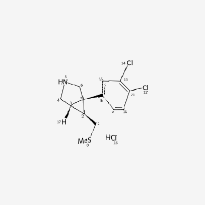 CSC[C@H]1[C@@H]2CNC[C@@]21c1ccc(Cl)c(Cl)c1.Cl